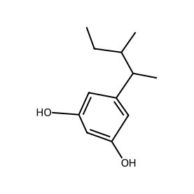 CCC(C)C(C)c1cc(O)cc(O)c1